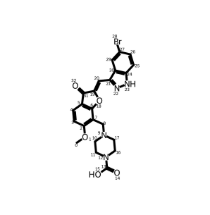 COc1ccc2c(c1CN1CCN(C(=O)O)CC1)OC(=Cc1n[nH]c3ccc(Br)cc13)C2=O